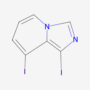 Ic1cccn2cnc(I)c12